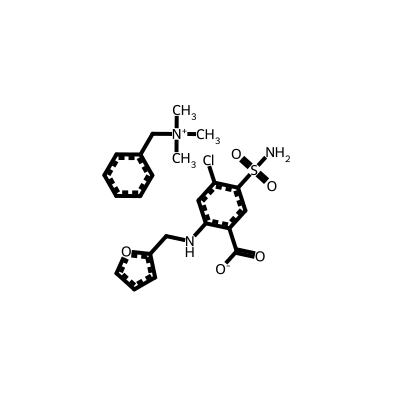 C[N+](C)(C)Cc1ccccc1.NS(=O)(=O)c1cc(C(=O)[O-])c(NCc2ccco2)cc1Cl